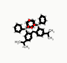 CC(C)c1ccc(Cc2ccc(C(C)C)cc2P(c2ccccc2)c2ccccc2)c(P(c2ccccc2)c2ccccc2)c1